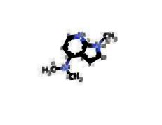 CN(C)c1ccnc2c1ccn2C